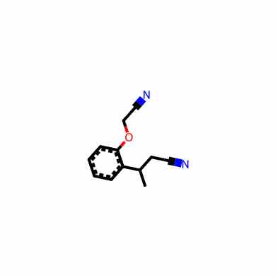 CC(CC#N)c1ccccc1OCC#N